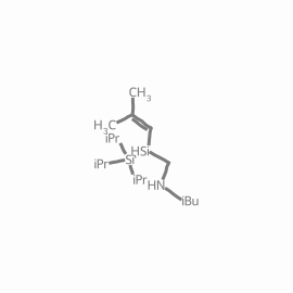 CCC(C)NC[SiH](C=C(C)C)[Si](C(C)C)(C(C)C)C(C)C